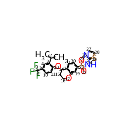 CC(C)c1cc(C(F)(F)F)ccc1O[C@@H]1CCOc2cc(S(=O)(=O)Nc3nccs3)ccc21